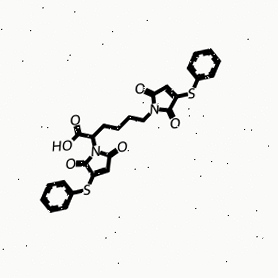 O=C(O)C(CCCCN1C(=O)C=C(Sc2ccccc2)C1=O)N1C(=O)C=C(Sc2ccccc2)C1=O